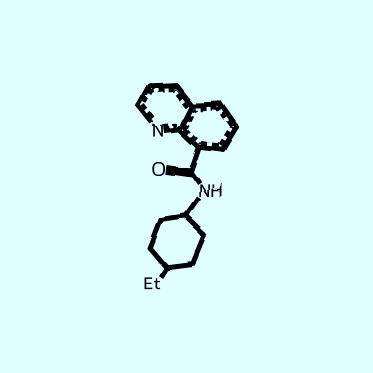 CCC1CCC(NC(=O)c2cccc3cccnc23)CC1